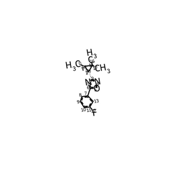 C[C@@H]1[C@@H](c2noc(-c3cccc(F)c3)n2)C1(C)C